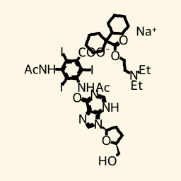 CC(=O)Nc1c(I)c(NC(C)=O)c(I)c(C(=O)[O-])c1I.CCN(CC)CCOC(=O)C1(C2CCCCC2)CCCCC1.O=c1nc[nH]c2c1ncn2[C@H]1CC[C@@H](CO)O1.[Na+]